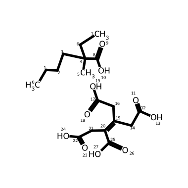 CCCCC(C)(CC)C(=O)O.O=C(O)CC(CC(=O)O)=C(CC(=O)O)C(=O)O